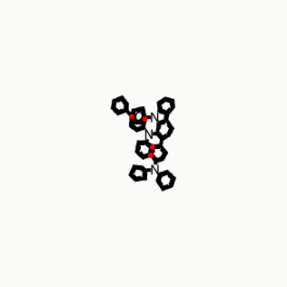 c1ccc(-c2ccc(N(c3ccccc3)c3c(-c4ccc(N(c5ccccc5)c5ccccc5)cc4)ccc4c5ccccc5n(-c5ccccc5)c34)cc2)cc1